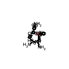 Cc1[nH]c2ccccc2c1C[C@H]1C(=O)NCc2cc(-c3ccc(S(N)(=O)=O)cc3)cc(Cl)c2Sc2ncccc2CN[C@@H](CCCN)C(=O)N[C@@H](CCCCN)C(=O)N1C